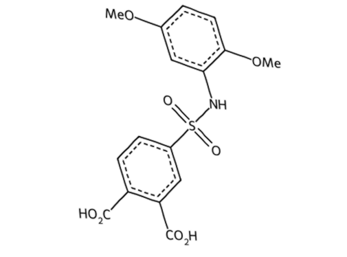 COc1ccc(OC)c(NS(=O)(=O)c2ccc(C(=O)O)c(C(=O)O)c2)c1